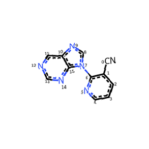 N#Cc1cccnc1-n1cnc2cncnc21